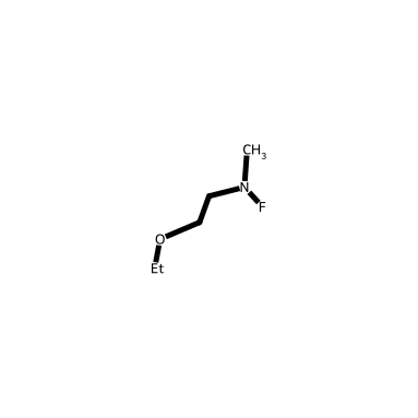 CCOCCN(C)F